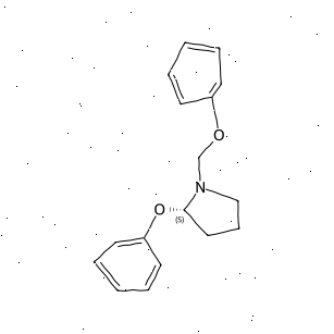 c1ccc(OCN2CCC[C@@H]2Oc2ccccc2)cc1